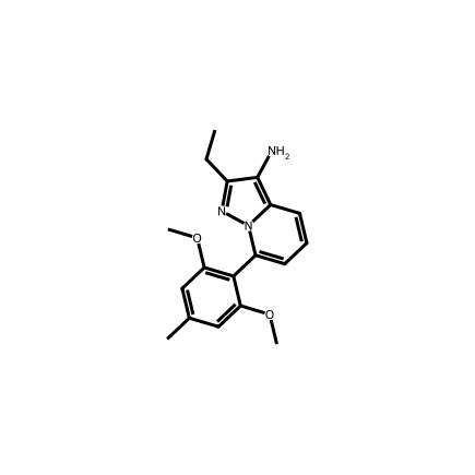 CCc1nn2c(-c3c(OC)cc(C)cc3OC)cccc2c1N